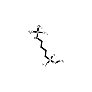 CO[Si](P)(P)CCCCN[Si](C)(C)C